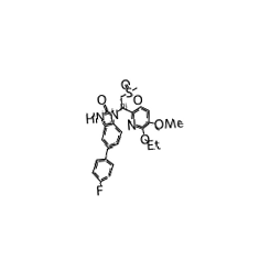 CCOc1nc([C@H](CS(C)(=O)=O)n2c(=O)[nH]c3cc(-c4ccc(F)cc4)ccc32)ccc1OC